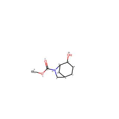 CC(C)(C)OC(=O)N1CC2CCC(O)C1C2